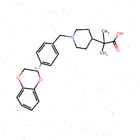 CC(C)(C(=O)O)C1CCN(Cc2ccc([C@H]3COc4ccccc4O3)cc2)CC1